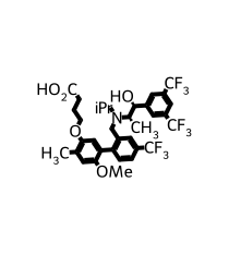 COc1cc(C)c(OCCCC(=O)O)cc1-c1ccc(C(F)(F)F)cc1CN(C(C)C)[C@H](C)[C@@H](O)c1cc(C(F)(F)F)cc(C(F)(F)F)c1